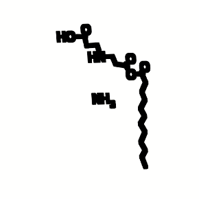 CCCCCCCCCCCC(=O)OC(=O)CCNCCC(=O)O.N